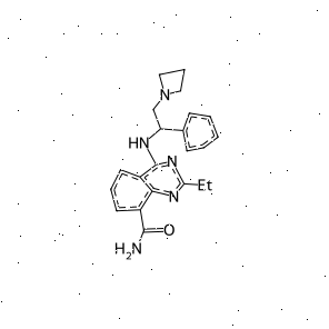 CCc1nc(NC(CN2CCC2)c2ccccc2)c2cccc(C(N)=O)c2n1